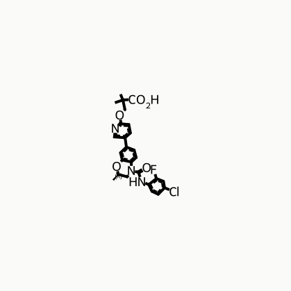 C[C@@H]1CN(C(=O)Nc2ccc(Cl)cc2F)c2ccc(-c3ccc(OCC(C)(C)C(=O)O)nc3)cc2O1